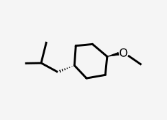 CO[C@H]1CC[C@H](CC(C)C)CC1